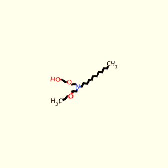 CCCCCCCCCCCCN(CCOCCC)CCOCCO